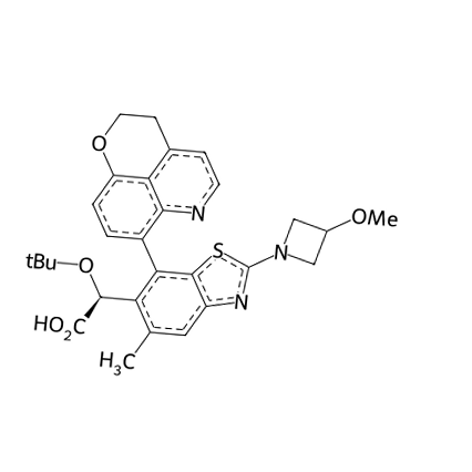 COC1CN(c2nc3cc(C)c([C@H](OC(C)(C)C)C(=O)O)c(-c4ccc5c6c(ccnc46)CCO5)c3s2)C1